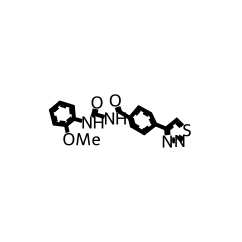 COc1ccccc1NC(=O)NC(=O)c1ccc(-c2csnn2)cc1